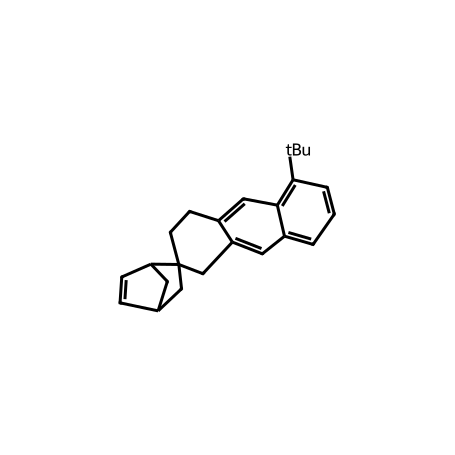 CC(C)(C)c1cccc2cc3c(cc12)CCC1(C3)CC2C=CC1C2